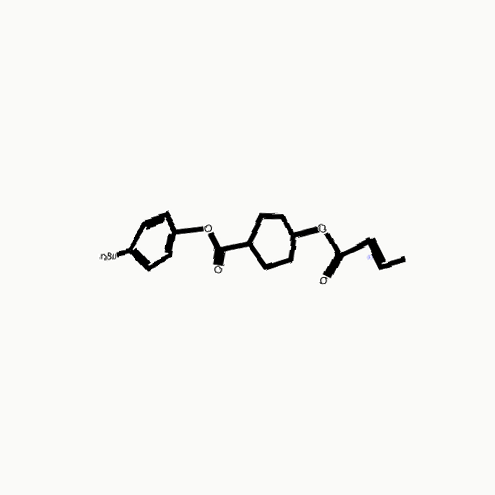 C/C=C/C(=O)OC1CCC(C(=O)Oc2ccc(CCCC)cc2)CC1